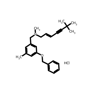 Cc1cc(CN(C)CC=CC#CC(C)(C)C)cc(OCc2ccccc2)c1.Cl